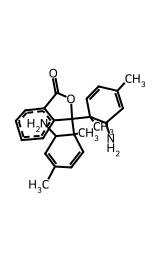 CC1=CC(N)C(C)(C2(C3(C)C=CC(C)=CC3N)OC(=O)c3ccccc32)C=C1